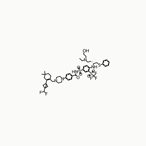 CCN(CCO)CC[C@H](CSc1ccccc1)Nc1ccc(S(=O)(=O)NC(=O)c2ccc(N3CCN(CC4=C(C56CC(C(F)F)(C5)C6)CC(C)(C)CC4)CC3)cc2)cc1S(=O)(=O)C(F)(F)F